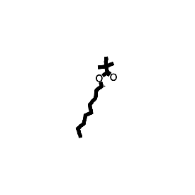 CCCCCCCC[CH]OC(=O)C(C)(C)C